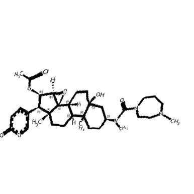 CC(=O)O[C@H]1[C@H]2O[C@]23[C@@H]2CC[C@]4(O)C[C@@H](N(C)C(=O)N5CCCN(C)CC5)CC[C@]4(C)[C@H]2CC[C@]3(C)[C@H]1c1ccc(=O)oc1